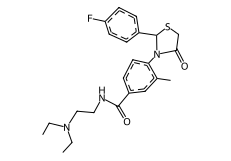 CCN(CC)CCNC(=O)c1ccc(N2C(=O)CSC2c2ccc(F)cc2)c(C)c1